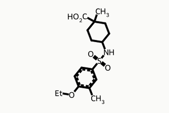 CCOc1ccc(S(=O)(=O)NC2CCC(C)(C(=O)O)CC2)cc1C